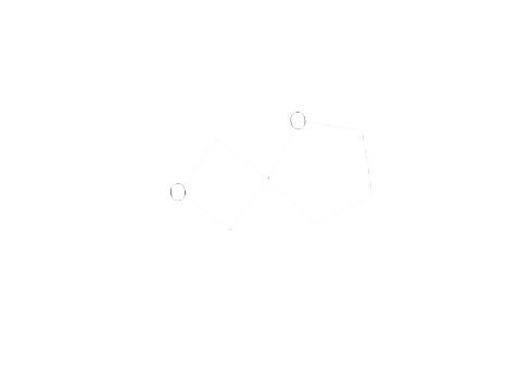 C1COC2(C1)COC2